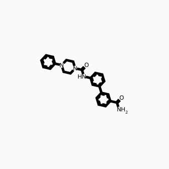 NC(=O)c1cccc(-c2cccc(NC(=O)N3CCN(c4ccccc4)CC3)c2)c1